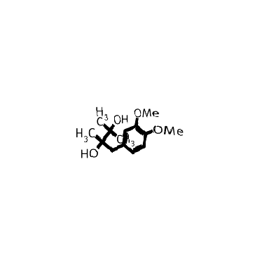 COc1ccc(CC(C)(O)C(C)(C)O)cc1OC